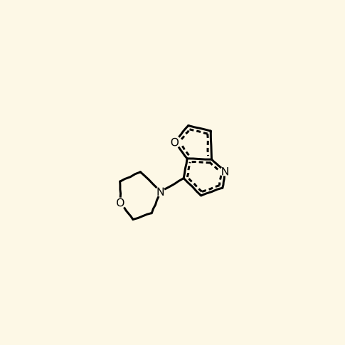 c1cc(N2CCOCC2)c2occc2n1